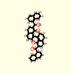 O=C(c1cccc2ccccc12)c1ccc2ccc3oc4c(C(=O)c5cccc6ccccc56)ccc5ccc6oc1c2c3-c6c54